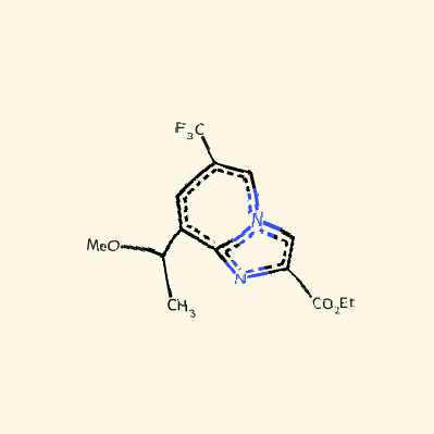 CCOC(=O)c1cn2cc(C(F)(F)F)cc(C(C)OC)c2n1